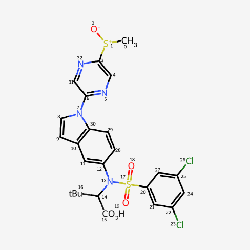 C[S+]([O-])c1cnc(-n2ccc3cc(N(C(C(=O)O)C(C)(C)C)S(=O)(=O)c4cc(Cl)cc(Cl)c4)ccc32)cn1